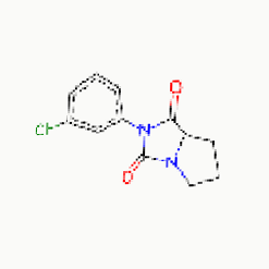 O=C1C2CCCN2C(=O)N1c1cccc(Cl)c1